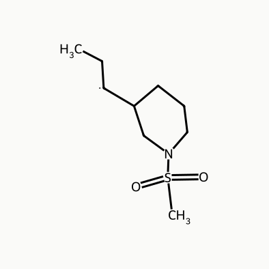 CC[CH]C1CCCN(S(C)(=O)=O)C1